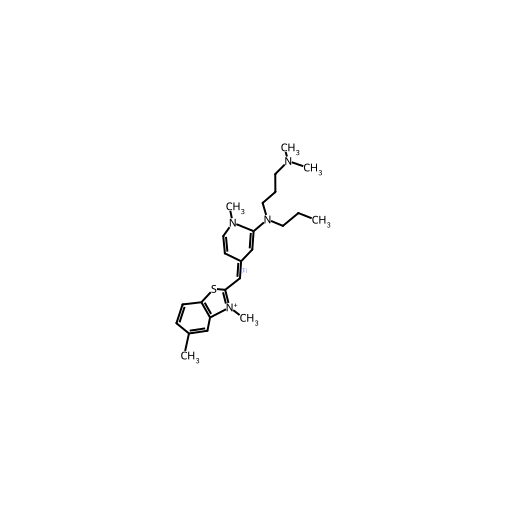 CCCN(CCCN(C)C)C1=C/C(=C/c2sc3ccc(C)cc3[n+]2C)C=CN1C